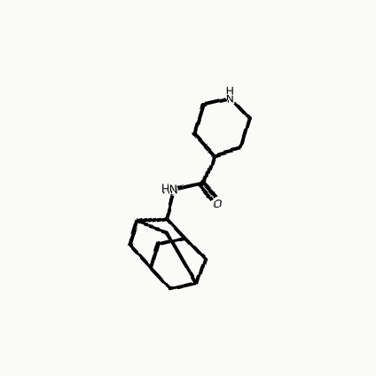 O=C(NC1C2CC3CC(C2)CC1C3)C1CCNCC1